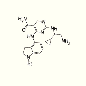 CCN1CCc2c(Nc3nc(NC(CN)C4CC4)ncc3C(N)=O)cccc21